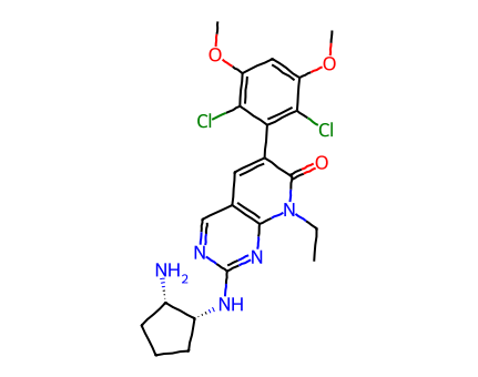 CCn1c(=O)c(-c2c(Cl)c(OC)cc(OC)c2Cl)cc2cnc(N[C@@H]3CCC[C@@H]3N)nc21